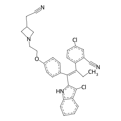 CC/C(=C(/c1ccc(OCCN2CC(CC#N)C2)cc1)c1[nH]c2ccccc2c1Cl)c1ccc(Cl)cc1C#N